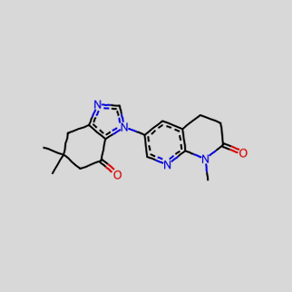 CN1C(=O)CCc2cc(-n3cnc4c3C(=O)CC(C)(C)C4)cnc21